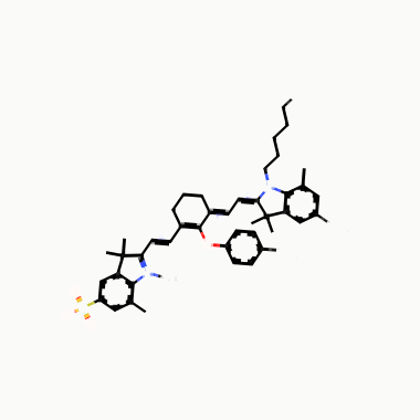 CCCC[N+]1=C(/C=C/C2=C(Oc3ccc(S(=O)(=O)O)cc3)C(=C/C=C3/N(CCCCCC(=O)O)c4c(C)cc(S(=O)(=O)O)cc4C3(C)C)/CCC2)C(C)(C)c2cc(S(=O)(=O)[O-])cc(C)c21